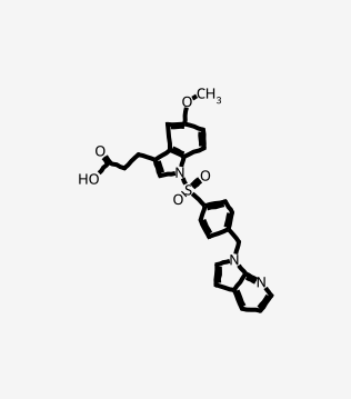 COc1ccc2c(c1)c(CCC(=O)O)cn2S(=O)(=O)c1ccc(Cn2ccc3cccnc32)cc1